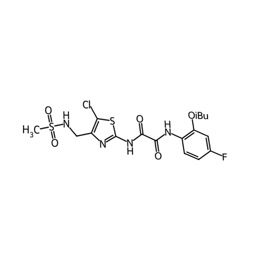 CC(C)COc1cc(F)ccc1NC(=O)C(=O)Nc1nc(CNS(C)(=O)=O)c(Cl)s1